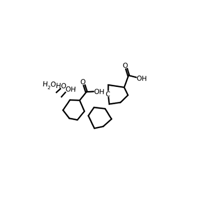 C1CCCCC1.CO.CO.O.O=C(O)C1CCCCC1.O=C(O)C1CCCCC1